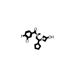 CN(CC(C1CCCC1)N1CC(O)C1)C(=O)c1ccc(F)c(Cl)c1